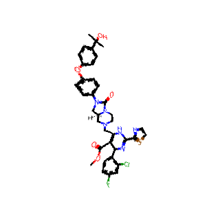 COC(=O)C1=C(CN2CCN3C(=O)N(c4ccc(Oc5ccc(C(C)(C)O)cc5)cc4)C[C@@H]3C2)NC(c2nccs2)=NC1c1ccc(F)cc1Cl